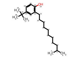 CC(C)CCCCCCCCCc1cc(C(C)(C)C)ccc1O